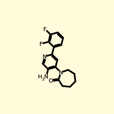 Nc1cnc(-c2cccc(F)c2F)cc1N1CCCCCC1=O